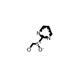 [O]C[S+]([O-])c1ncccn1